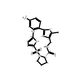 Cc1sc(-c2ccc(C(F)(F)F)cc2)nc1CNC(=O)[C@@H]1CCCN1S(=O)(=O)c1ccc(Cl)s1